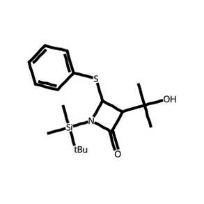 CC(C)(O)C1C(=O)N([Si](C)(C)C(C)(C)C)C1Sc1ccccc1